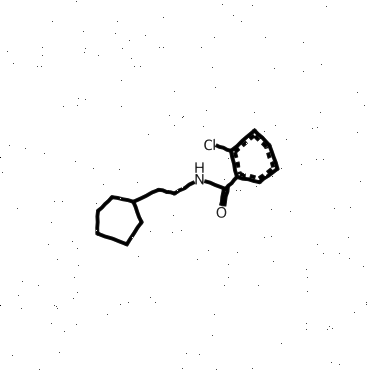 O=C(NCCC1CCCCC1)c1ccccc1Cl